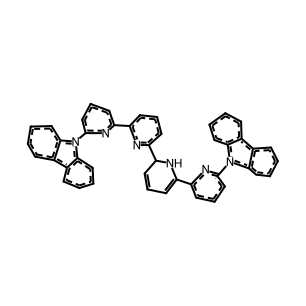 C1=CC(c2cccc(-c3cccc(-n4c5ccccc5c5ccccc54)n3)n2)NC(c2cccc(-n3c4ccccc4c4ccccc43)n2)=C1